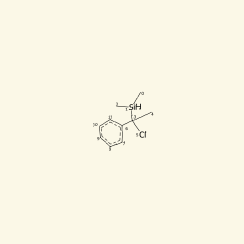 C[SiH](C)C(C)(Cl)c1ccccc1